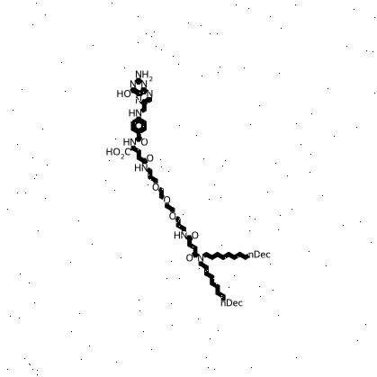 CCCCCCCCCCCCCCCCCCN(CCCCCCCCCCCCCCCCCC)C(=O)CCC(=O)NCCCOCCOCCOCCCNC(=O)CC[C@H](NC(=O)c1ccc(NCc2cnc3nc(N)nc(O)c3n2)cc1)C(=O)O